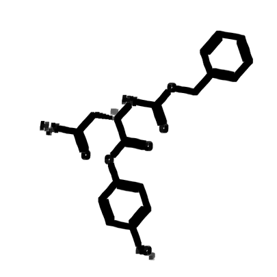 NC(=O)C[C@H](NC(=O)OCc1ccccc1)C(=O)Oc1ccc([N+](=O)[O-])cc1